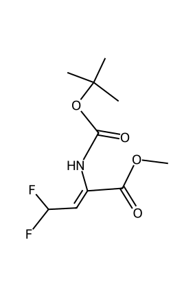 COC(=O)/C(=C/C(F)F)NC(=O)OC(C)(C)C